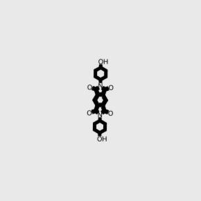 O=c1c2cc3c(=O)n(C4CCC(O)CC4)c(=O)c3cc2c(=O)n1C1CCC(O)CC1